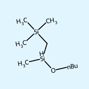 CCCCO[SiH](C)C[Si](C)(C)C